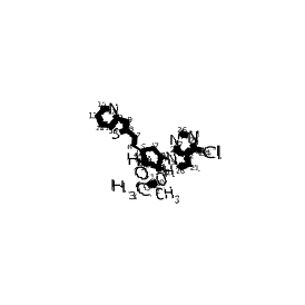 CC1(C)O[C@@H]2[C@@H](CCc3cc4ncccc4s3)C[C@@H](n3ccc4c(Cl)ncnc43)[C@@H]2O1